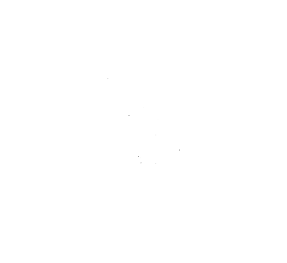 CCOc1ccc2c(C)cn(CC)c2c1